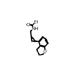 CCC(=O)NCC1CC1c1cccc2c1CCCO2